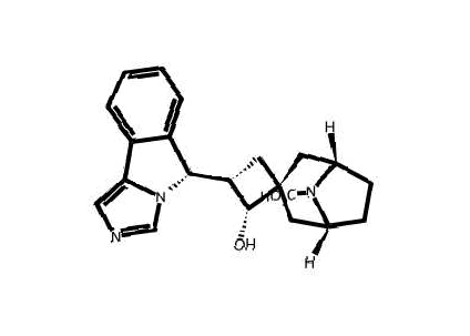 O=C(O)N1[C@@H]2CC[C@H]1C[C@@]1(C[C@@H]([C@H]3c4ccccc4-c4cncn43)[C@H]1O)C2